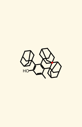 Cc1cc(O)c(C23CC4CC(CC(C4)C2)C3)c(C23CC4CC(CC(C4)C2)C3)c1C12CC3CC(CC(C3)C1)C2